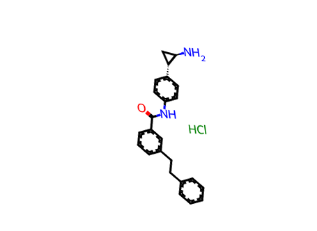 Cl.N[C@@H]1C[C@H]1c1ccc(NC(=O)c2cccc(CCc3ccccc3)c2)cc1